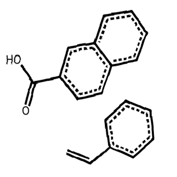 C=Cc1ccccc1.O=C(O)c1ccc2ccccc2c1